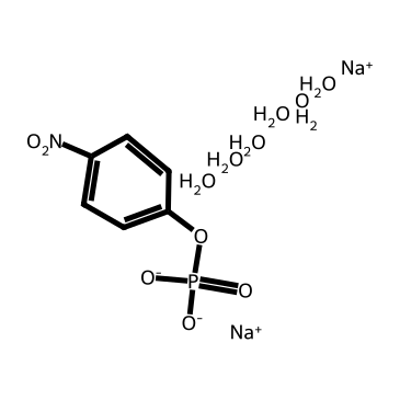 O.O.O.O.O.O.O=[N+]([O-])c1ccc(OP(=O)([O-])[O-])cc1.[Na+].[Na+]